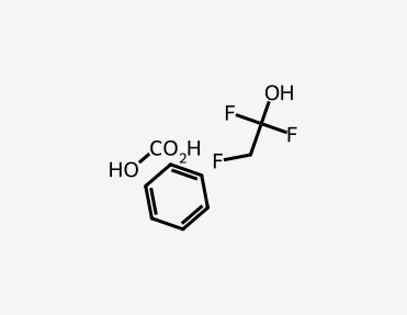 O=C(O)O.OC(F)(F)CF.c1ccccc1